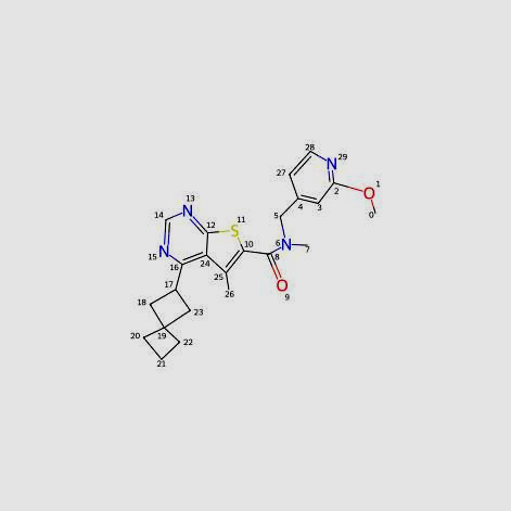 COc1cc(CN(C)C(=O)c2sc3ncnc(C4CC5(CCC5)C4)c3c2C)ccn1